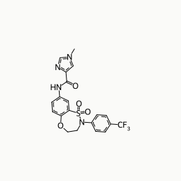 Cn1cnc(C(=O)Nc2ccc3c(c2)S(=O)(=O)N(c2ccc(C(F)(F)F)cc2)CCO3)c1